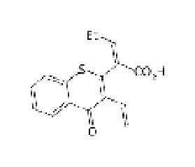 C=Cc1c(/C(=C\CC)C(=O)O)sc2ccccc2c1=O